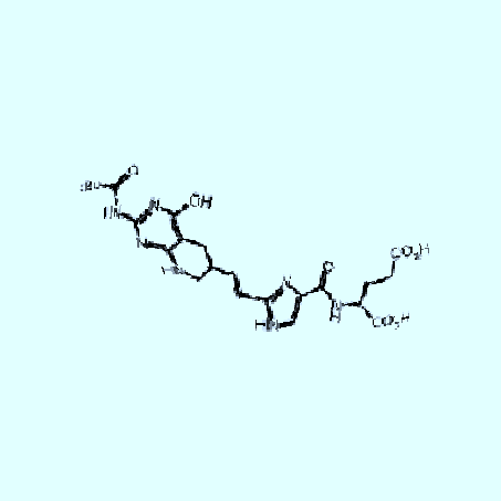 CC(C)(C)C(=O)Nc1nc(O)c2c(n1)NCC(CCc1nc(C(=O)N[C@@H](CCC(=O)O)C(=O)O)c[nH]1)C2